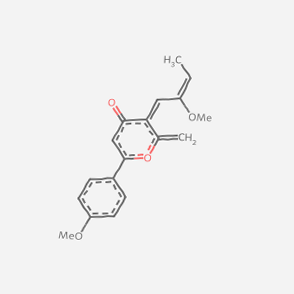 C=c1oc(-c2ccc(OC)cc2)cc(=O)/c1=C/C(=C\C)OC